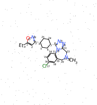 CCc1cc([C@H]2CC[C@@H](c3nnc4n3-c3ccc(Cl)cc3CN(C)C4)CC2)no1